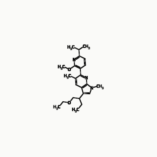 CCOCC(CC)c1cn(C)c2nc(-c3ccc(C(C)C)nc3OC)c(C)cc12